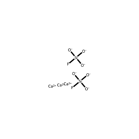 [Ca+2].[Ca+2].[Ca+2].[O-][Si]([O-])([O-])F.[O-][Si]([O-])([O-])F